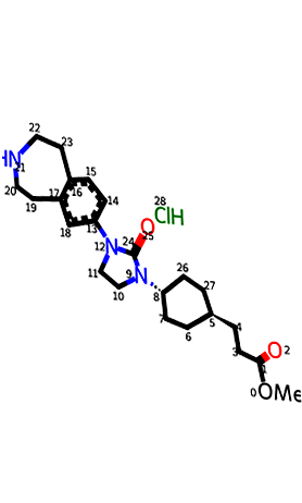 COC(=O)CC[C@H]1CC[C@H](N2CCN(c3ccc4c(c3)CCNCC4)C2=O)CC1.Cl